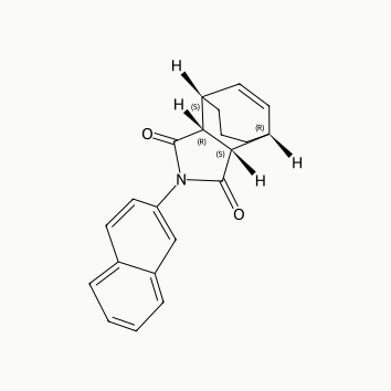 O=C1[C@@H]2[C@H](C(=O)N1c1ccc3ccccc3c1)[C@@H]1C=C[C@H]2CCC1